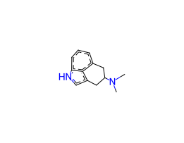 CN(C)C1Cc2cccc3[nH]cc(c23)C1